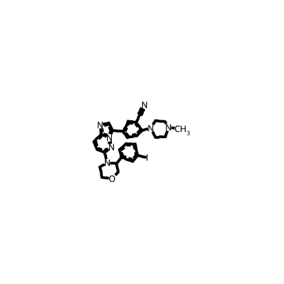 CN1CCN(c2ccc(-c3cnc4ccc(N5CCOCC5c5cccc(I)c5)nn34)cc2C#N)CC1